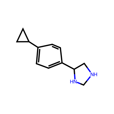 c1cc(C2CNCN2)ccc1C1CC1